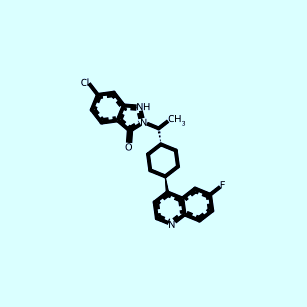 CC([C@H]1CC[C@H](c2ccnc3ccc(F)cc32)CC1)n1[nH]c2cc(Cl)ccc2c1=O